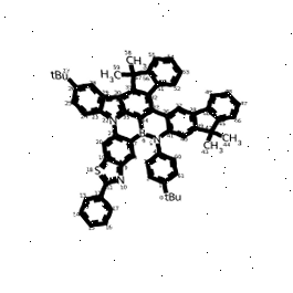 CC(C)(C)c1ccc(N2B3c4cc5nc(-c6ccccc6)sc5cc4-n4c5ccc(C(C)(C)C)cc5c5c6c(c(c3c54)-c3cc4c(cc32)C(C)(C)c2ccccc2-4)-c2ccccc2C6(C)C)cc1